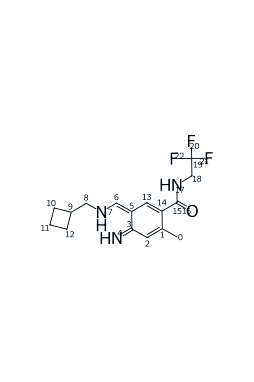 CC1=CC(=N)/C(=C\NCC2CCC2)C=C1C(=O)NCC(F)(F)F